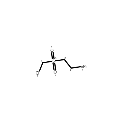 CCCCCS(=O)(=O)CCl